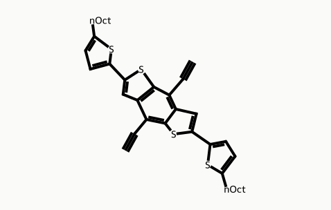 C#Cc1c2cc(-c3ccc(CCCCCCCC)s3)sc2c(C#C)c2cc(-c3ccc(CCCCCCCC)s3)sc12